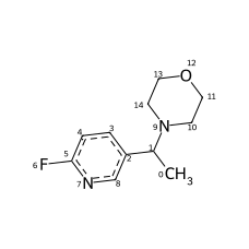 CC(c1c[c]c(F)nc1)N1CCOCC1